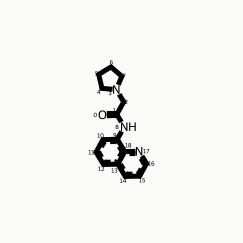 O=C(CN1CCCC1)Nc1cccc2cccnc12